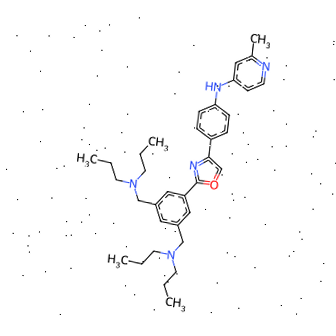 CCCN(CCC)Cc1cc(CN(CCC)CCC)cc(-c2nc(-c3ccc(Nc4ccnc(C)c4)cc3)co2)c1